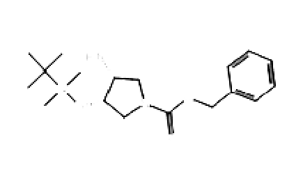 CC(C)(C)[Si](C)(C)O[C@H]1CN(C(=O)OCc2ccccc2)C[C@H]1N